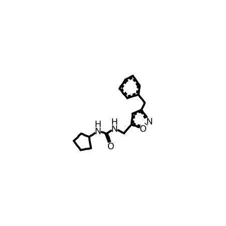 O=C(NCc1cc(Cc2ccccc2)no1)NC1CCCC1